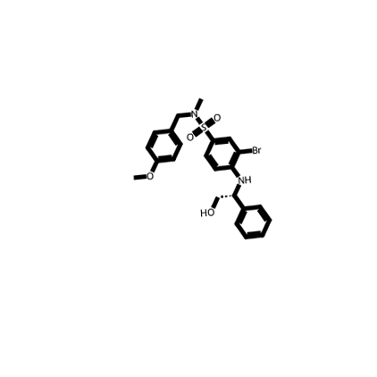 COc1ccc(CN(C)S(=O)(=O)c2ccc(N[C@@H](CO)c3ccccc3)c(Br)c2)cc1